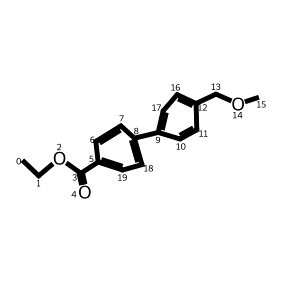 CCOC(=O)c1ccc(-c2ccc(COC)cc2)cc1